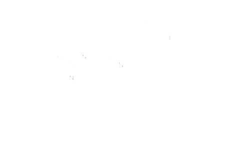 CN1C(C(=O)Nc2ccc(F)c(Cl)c2)=CC(c2ccccc2)=N[S+]1[O-]